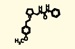 COc1ccc(CCN2CCC[C@H]2CNC(=O)Nc2ccccc2)cc1